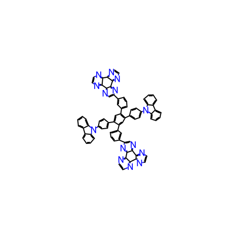 c1cc(-c2cnc3c4nccnc4c4nccnc4c3n2)cc(-c2cc(-c3ccc(-n4c5ccccc5c5ccccc54)cc3)c(-c3cccc(-c4cnc5c6nccnc6c6nccnc6c5n4)c3)cc2-c2ccc(-n3c4ccccc4c4ccccc43)cc2)c1